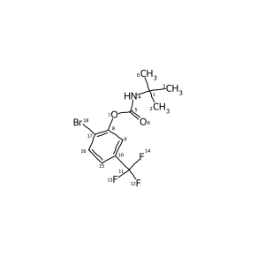 CC(C)(C)NC(=O)Oc1cc(C(F)(F)F)ccc1Br